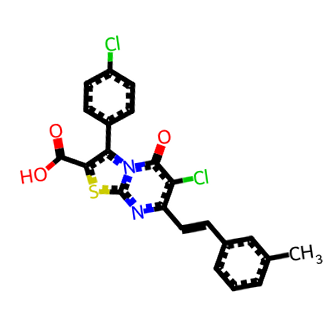 Cc1cccc(/C=C/c2nc3sc(C(=O)O)c(-c4ccc(Cl)cc4)n3c(=O)c2Cl)c1